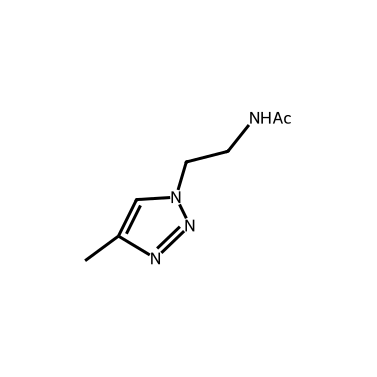 CC(=O)NCCn1cc(C)nn1